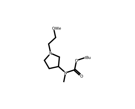 COCCN1CCC(N(C)C(=O)OC(C)(C)C)C1